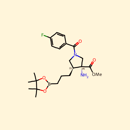 COC(=O)[C@]1(N)CN(C(=O)c2ccc(F)cc2)C[C@@H]1CCCB1OC(C)(C)C(C)(C)O1